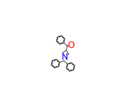 O=C(c1ccccc1)C1CN(C(c2ccccc2)c2ccccc2)C1